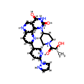 C[C@@H](O)C(=O)N1CCC(n2c(=O)[nH]c(=O)c3cnc4ccc(-c5ccc(-n6cccn6)nc5)nc4c32)CC1